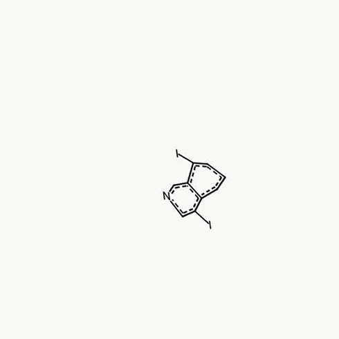 Ic1cncc2c(I)cccc12